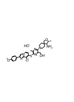 COc1ccc(-c2cn3ccc(Sc4nc(CO)c(N5CCC6(CC5)CO[C@@H](C)[C@H]6N)nc4C)c(Cl)c3n2)cc1.Cl